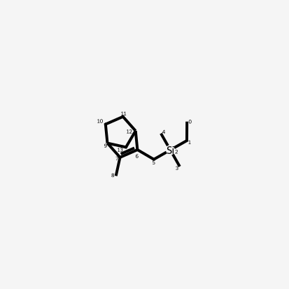 CC[Si](C)(C)CC1=C(C)C2CCC1C2